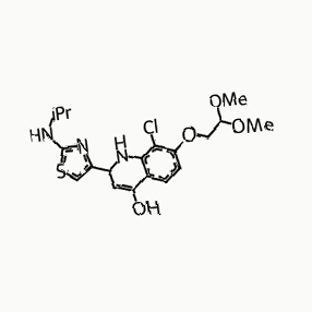 COC(COc1ccc2c(c1Cl)NC(c1csc(NC(C)C)n1)C=C2O)OC